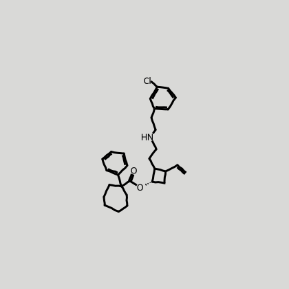 C=CC1C[C@H](OC(=O)C2(c3ccccc3)CCCCCC2)C1CCNCCc1cccc(Cl)c1